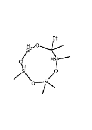 CCC1(C)O[SiH2]O[SiH](C)O[Si](C)(C)O[SiH]1C